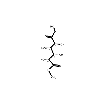 COC(=O)[C@H](O)[C@@H](O)[C@H](O)[C@H](O)C(=O)CO